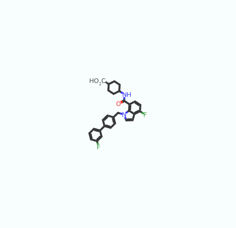 O=C(NC1CCC(C(=O)O)CC1)c1ccc(F)c2ccn(Cc3ccc(-c4cccc(F)c4)cc3)c12